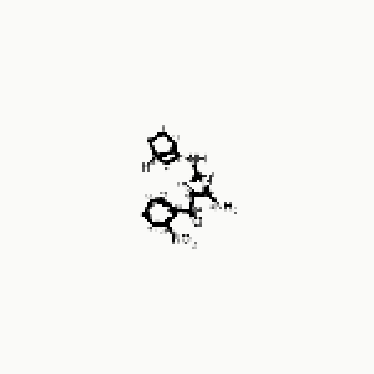 Nc1nc(N[C@H]2C[C@@H]3CCC2C3)sc1C(=O)c1ccccc1[N+](=O)[O-]